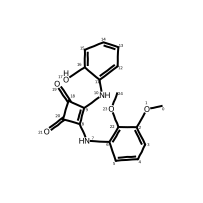 COc1cccc(Nc2c(Nc3ccccc3O)c(=O)c2=O)c1OC